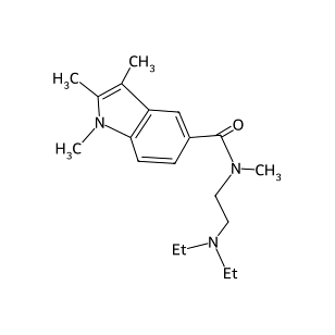 CCN(CC)CCN(C)C(=O)c1ccc2c(c1)c(C)c(C)n2C